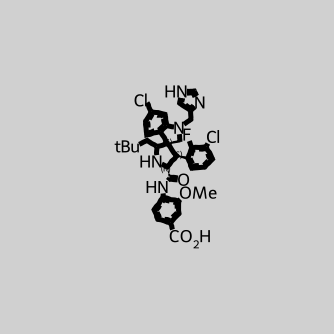 COc1cc(C(=O)O)ccc1NC(=O)[C@@H]1NC(CC(C)(C)C)[C@@]2(CN(Cc3c[nH]cn3)c3cc(Cl)ccc32)[C@H]1c1cccc(Cl)c1F